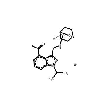 CC(C)n1nc(CN[C@@H]2CN3CCC2CC3)c2c(C(=O)[O-])cccc21.[Li+]